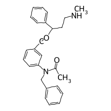 CNCCC(OCc1cccc(N(Cc2ccccc2)C(C)=O)c1)c1ccccc1